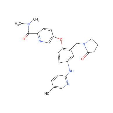 CN(C)C(=O)c1ccc(Oc2ccc(Nc3ccc(C#N)cn3)cc2CN2CCCC2=O)cn1